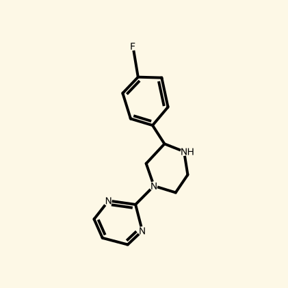 Fc1ccc(C2CN(c3ncccn3)CCN2)cc1